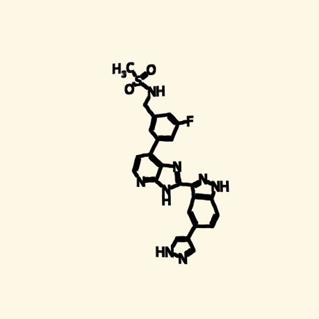 CS(=O)(=O)NCc1cc(F)cc(-c2ccnc3[nH]c(-c4n[nH]c5ccc(-c6cn[nH]c6)cc45)nc23)c1